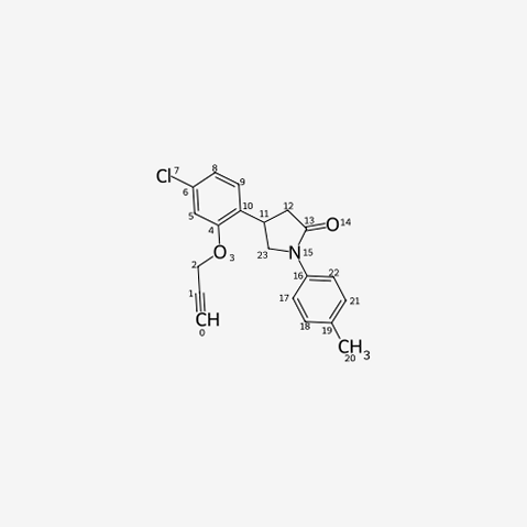 C#CCOc1cc(Cl)ccc1C1CC(=O)N(c2ccc(C)cc2)C1